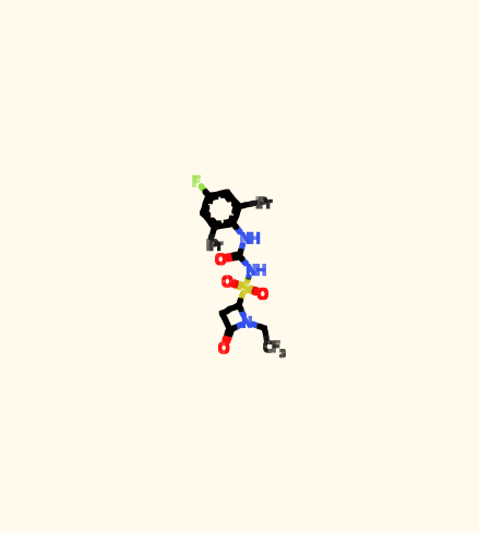 CC(C)c1cc(F)cc(C(C)C)c1NC(=O)NS(=O)(=O)C1CC(=O)N1CC(F)(F)F